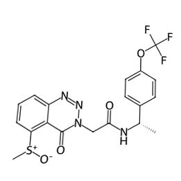 C[C@H](NC(=O)Cn1nnc2cccc([S+](C)[O-])c2c1=O)c1ccc(OC(F)(F)F)cc1